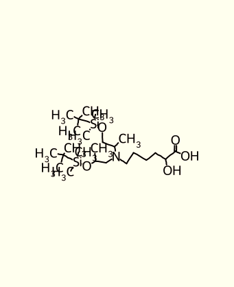 CC(CN(CCCCC(O)C(=O)O)C(C)CO[Si](C)(C)C(C)(C)C)O[Si](C)(C)C(C)(C)C